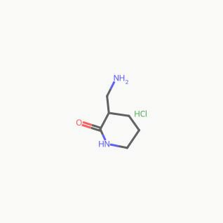 Cl.NCC1CCCNC1=O